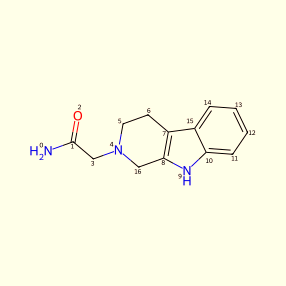 NC(=O)CN1CCc2c([nH]c3ccccc23)C1